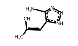 CC(C)=Cc1[nH]nnc1N